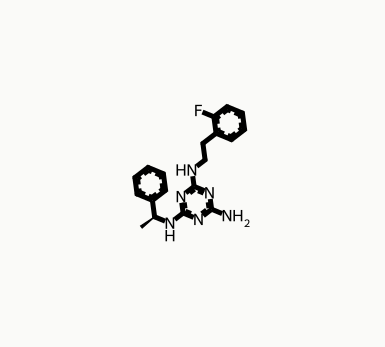 C[C@H](Nc1nc(N)nc(NCCc2ccccc2F)n1)c1ccccc1